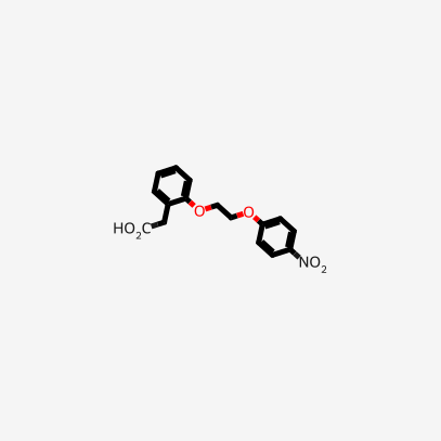 O=C(O)Cc1ccccc1OCCOc1ccc([N+](=O)[O-])cc1